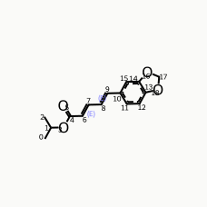 CC(C)OC(=O)/C=C/C=C/c1ccc2c(c1)OCO2